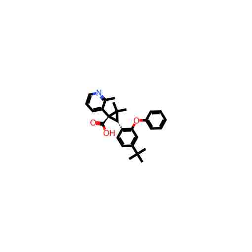 Cc1ncccc1[C@@]1(C(=O)O)[C@@H](c2ccc(C(C)(C)C)cc2Oc2ccccc2)C1(C)C